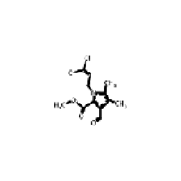 COC(=O)c1c(C=O)c(C)c(C)n1CC=C(Cl)Cl